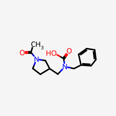 CC(=O)N1CCC(CN(Cc2ccccc2)C(=O)O)C1